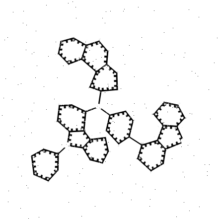 c1ccc(-n2c3ccccc3c3c(N(c4ccc(-c5cccc6sc7ccccc7c56)cc4)c4ccc5ccc6ccccc6c5c4)cccc32)cc1